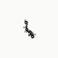 CC(C)Nn1c(Nc2ccccc2)nc2cnc(Nc3ccc(NCCCN4CCN(C)CC4)cc3)nc21